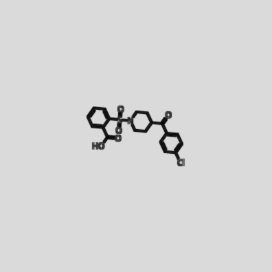 O=C(O)c1ccccc1S(=O)(=O)N1CCC(C(=O)c2ccc(Cl)cc2)CC1